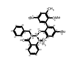 COc1c(C)cc(C(C)(C)C)cc1-c1cc(C(C)(C)C)cc(C)c1OP1N(Cc2ccccc2)C(=O)c2ccccc2N1C